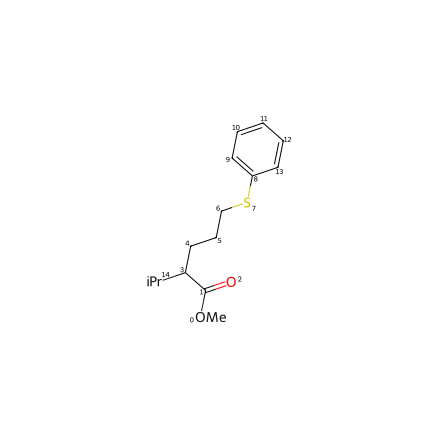 COC(=O)C(CCCSc1ccccc1)C(C)C